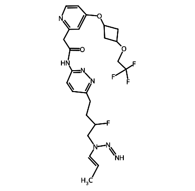 C/C=C/N(CC(F)CCc1ccc(NC(=O)Cc2cc(OC3CC(OCC(F)(F)F)C3)ccn2)nn1)N=N